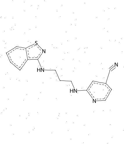 N#Cc1ccnc(NCCCNc2nsc3ccccc23)c1